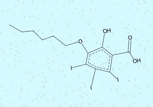 CCCCCCOc1c(O)c(C(=O)O)c(I)c(I)c1I